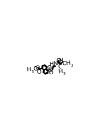 COC(=O)c1cccc2c(S(=O)(=O)CC=CNc3onc(C)c3C)cccc12